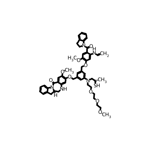 C=CNc1cc(OCc2cc(COc3cc4c(cc3OC)C(=O)N3c5ccccc5C[C@H]3CN4)cc(N(CCOCCOCCOC)C[C@H](C)S)c2)c(OC)cc1C(=O)N1CCc2ccccc21